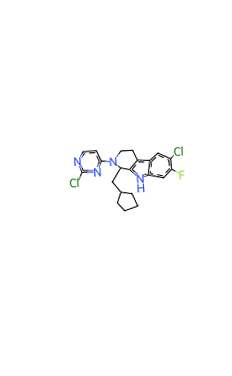 Fc1cc2[nH]c3c(c2cc1Cl)CCN(c1ccnc(Cl)n1)C3CC1CCCC1